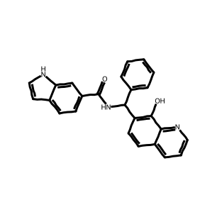 O=C(NC(c1ccccc1)c1ccc2cccnc2c1O)c1ccc2cc[nH]c2c1